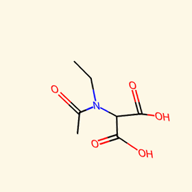 CCN(C(C)=O)C(C(=O)O)C(=O)O